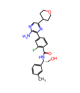 Cc1cccc([C@@H](CO)NC(=O)c2ccc(-c3nc(C4CCOCC4)cnc3N)cc2F)c1